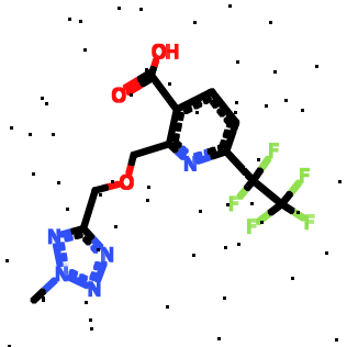 Cn1nnc(COCc2nc(C(F)(F)C(F)(F)F)ccc2C(=O)O)n1